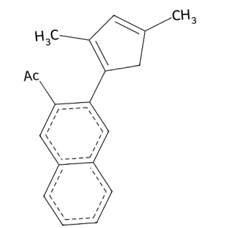 CC(=O)c1cc2ccccc2cc1C1=C(C)C=C(C)C1